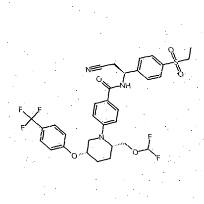 CCS(=O)(=O)c1ccc([C@H](CC#N)NC(=O)c2ccc(N3C[C@@H](Oc4ccc(C(F)(F)F)cc4)CC[C@H]3COC(F)F)cc2)cc1